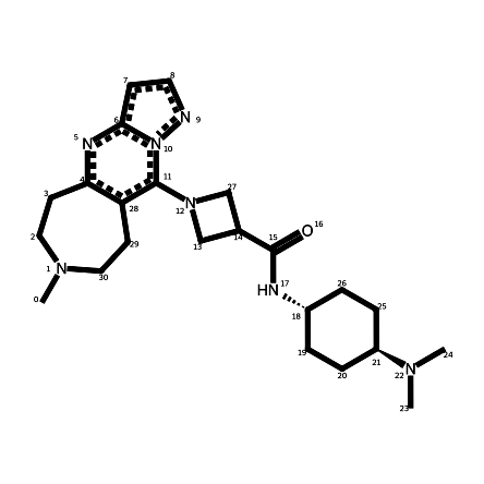 CN1CCc2nc3ccnn3c(N3CC(C(=O)N[C@H]4CC[C@H](N(C)C)CC4)C3)c2CC1